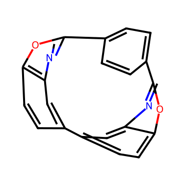 c1cc2oc3nc2cc1c1ccc2oc(nc2c1)c1ccc3cc1